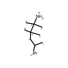 CC(C)C(C)CC(C)(C)C(C)(C)N